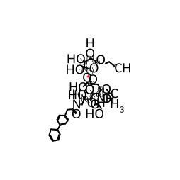 C#CCCO[C@@H]1O[C@H](CO[C@@]2(C(=O)O)C[C@H](OC(C)=O)[C@@H](NC(=O)CO)[C@H]([C@H](O)[C@H](O)CNC(=O)Cc3ccc(-c4ccccc4)cc3)O2)[C@H](O)[C@H](O)[C@H]1O